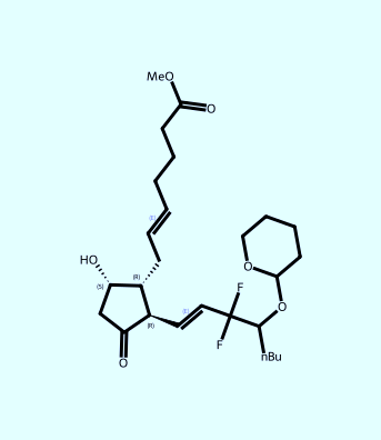 CCCCC(OC1CCCCO1)C(F)(F)/C=C/[C@H]1C(=O)C[C@H](O)[C@@H]1C/C=C/CCCC(=O)OC